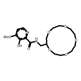 COc1ccnc(C(=O)NCC2COCCOCCOCCOCCO2)c1O